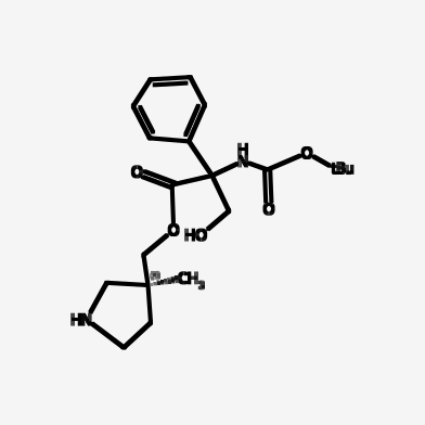 CC(C)(C)OC(=O)NC(CO)(C(=O)OC[C@@]1(C)CCNC1)c1ccccc1